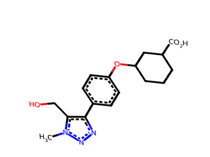 Cn1nnc(-c2ccc(OC3CCCC(C(=O)O)C3)cc2)c1CO